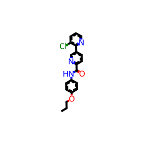 CCCOc1ccc(NC(=O)c2ccc(-c3ncccc3Cl)cn2)cc1